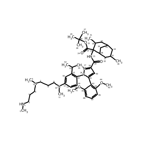 CNCCCN(C)CCCN(C)c1ccc(-n2nc(C(=O)NC3(C(=O)OC(C)(C)C)C(C)CC4CC(C)CC3C4)cc2-c2c(OC)cccc2OC)c(C(C)C)c1